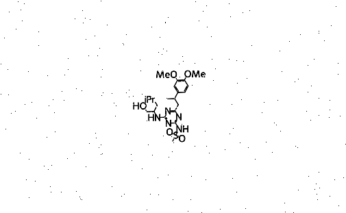 COc1ccc(C(C)Cc2nc(NC(CO)CC(C)C)nc(NS(C)(=O)=O)n2)cc1OC